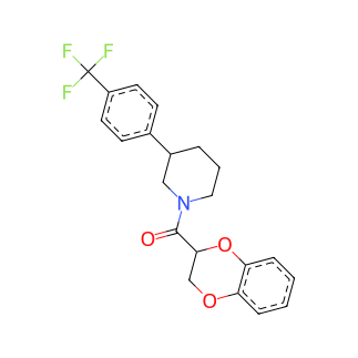 O=C(C1COc2ccccc2O1)N1CCCC(c2ccc(C(F)(F)F)cc2)C1